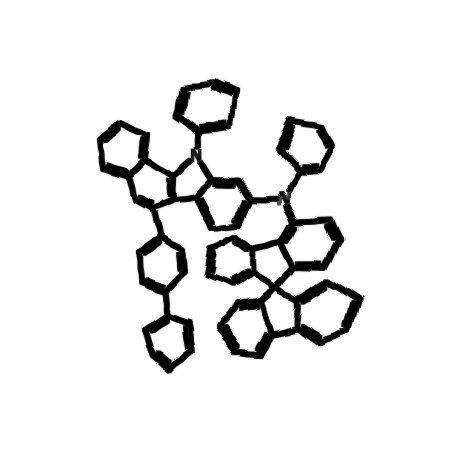 c1ccc(-c2ccc(-c3cc4ccccc4c4c3c3ccc(N(c5ccccc5)c5cccc6c5-c5ccccc5C65c6ccccc6-c6ccccc65)cc3n4-c3ccccc3)cc2)cc1